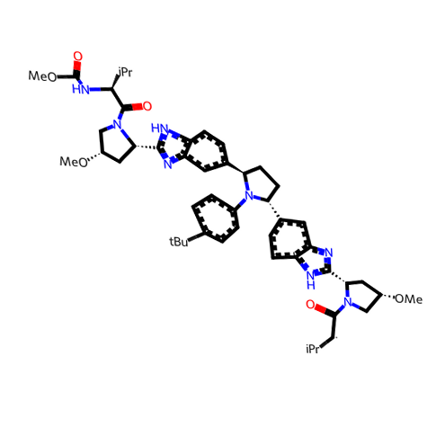 COC(=O)N[C@H](C(=O)N1C[C@@H](OC)C[C@H]1c1nc2cc([C@H]3CC[C@H](c4ccc5[nH]c([C@@H]6C[C@H](OC)CN6C(=O)[CH]C(C)C)nc5c4)N3c3ccc(C(C)(C)C)cc3)ccc2[nH]1)C(C)C